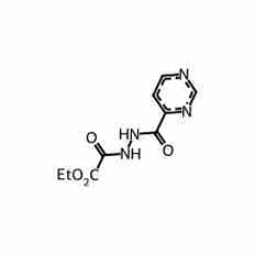 CCOC(=O)C(=O)NNC(=O)c1ccncn1